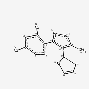 Cc1nnc(-c2ccc(Cl)cc2Cl)n1C1CC=CO1